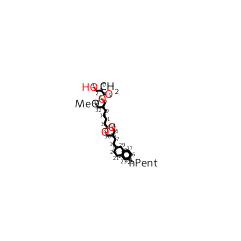 C=C(CO)C(=O)OCC(CCCCC1OCC(CCC2CCc3cc(CCCCC)ccc3C2)CO1)COC